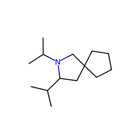 CC(C)C1CC2(CCCC2)CN1C(C)C